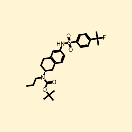 CCCN(C(=O)OC(C)(C)C)[C@H]1CCc2cc(NS(=O)(=O)c3ccc(C(C)(C)F)cc3)ccc2C1